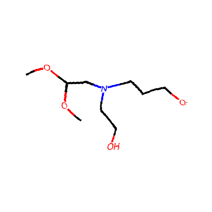 COC(CN(CCO)CCC[O])OC